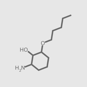 CCCCCOC1CCCC(N)C1O